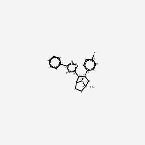 CN1C2CC[C@@H]1C[C@H](c1ccc(Cl)cc1)C2c1nc(-c2ccccc2)no1